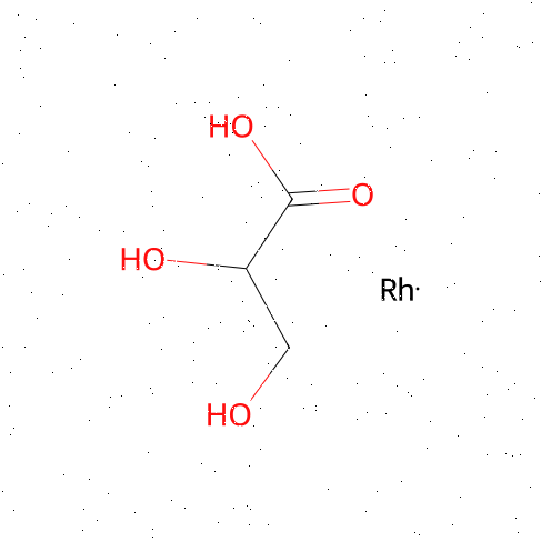 O=C(O)C(O)CO.[Rh]